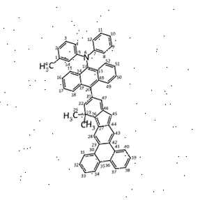 Cc1cccc(N(c2ccccc2)c2c3ccccc3c(C3=CC(C)(C)C4=c5cc6c7ccccc7c7ccccc7c6cc5=CC4=C3)c3ccccc23)c1